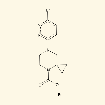 CC(C)(C)OC(=O)N1CCN(c2ccc(Br)nn2)CC12CC2